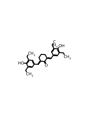 CCc1cc(C=C2CCCC(=Cc3cc(CC)c(O)c(CC)c3)C2=O)cc(CC)c1O